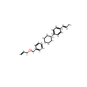 C=CCOCc1ccc([C@H]2CC[C@H](c3ccc(C=CC)cc3)CC2)cc1